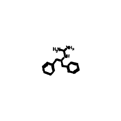 NC(N)NC(Cc1ccccc1)Cc1ccccc1